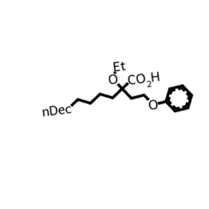 CCCCCCCCCCCCCCC(CCOc1ccccc1)(OCC)C(=O)O